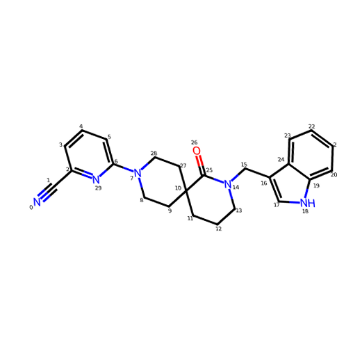 N#Cc1cccc(N2CCC3(CCCN(Cc4c[nH]c5ccccc45)C3=O)CC2)n1